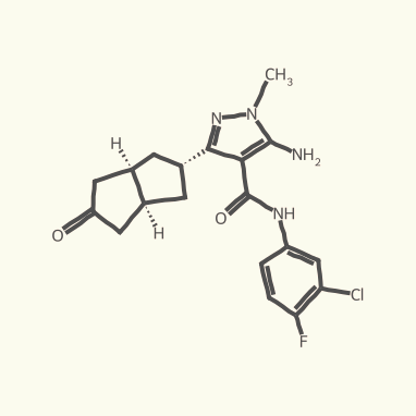 Cn1nc([C@@H]2C[C@H]3CC(=O)C[C@H]3C2)c(C(=O)Nc2ccc(F)c(Cl)c2)c1N